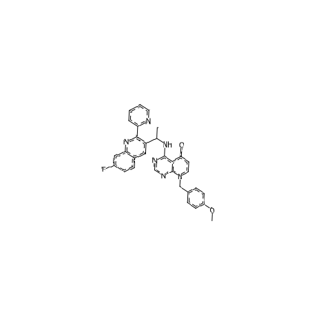 COc1ccc(Cn2ccc(=O)c3c(NC(C)c4cc5ccc(F)cc5nc4-c4ccccn4)ncnc32)cc1